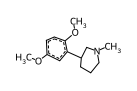 COc1ccc(OC)c(C2CCCN(C)C2)c1